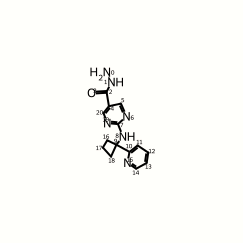 NNC(=O)c1cnc(NC2(c3ccccn3)CCC2)nc1